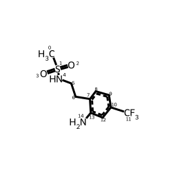 CS(=O)(=O)NCCc1ccc(C(F)(F)F)cc1N